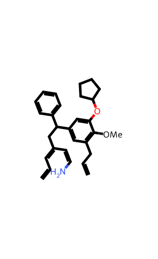 C=C/C=C(\C=C/N)CC(c1ccccc1)c1cc(CC=C)c(OC)c(OC2CCCC2)c1